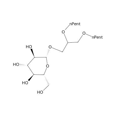 CCCCCOCC(CO[C@@H]1O[C@H](CO)[C@@H](O)[C@H](O)[C@H]1O)OCCCCC